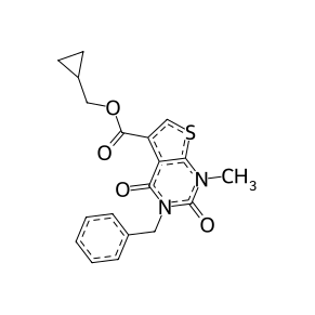 Cn1c(=O)n(Cc2ccccc2)c(=O)c2c(C(=O)OCC3CC3)csc21